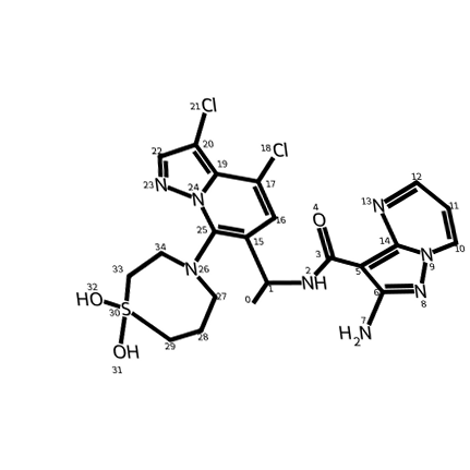 CC(NC(=O)c1c(N)nn2cccnc12)c1cc(Cl)c2c(Cl)cnn2c1N1CCCS(O)(O)CC1